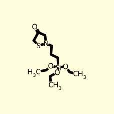 CCO[Si](CCCN1CC(=O)CS1)(OCC)OCC